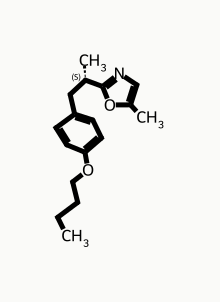 CCCCOc1ccc(C[C@H](C)c2ncc(C)o2)cc1